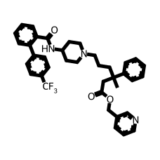 CC(CCCN1CCC(NC(=O)c2ccccc2-c2ccc(C(F)(F)F)cc2)CC1)(CC(=O)OCc1cccnc1)c1ccccc1